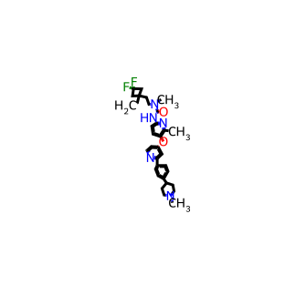 C=CC1(CCN(C)C(=O)Nc2ccc(Oc3ccnc(-c4ccc(C5CCN(C)CC5)cc4)c3)c(C)n2)CC(F)(F)C1